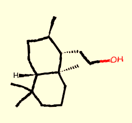 C[C@@H]1CC[C@H]2C(C)(C)CCC[C@]2(C)[C@H]1CCO